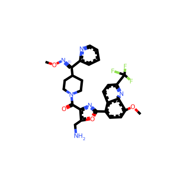 CO/N=C(/c1ccccn1)C1CCN(C(=O)c2nc(-c3ccc(OC)c4nc(C(F)(F)F)ccc34)oc2CN)CC1